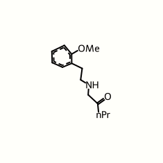 CCCC(=O)CNCCc1ccccc1OC